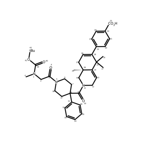 CN(CC(=O)N1CCC(C(=O)N2CC=C3C(C)(C)C(c4ccc(C(=O)O)cc4)=CC[C@]3(C)C2)(c2ccccc2)CC1)C(=O)OC(C)(C)C